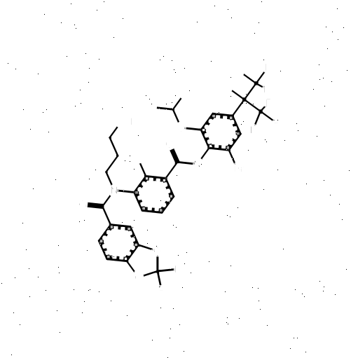 CCCCN(C(=O)c1ccc2c(c1)OC(F)(F)O2)c1cccc(C(=O)Nc2c(Br)cc(C(F)(C(F)(F)F)C(F)(F)F)cc2OC(F)F)c1F